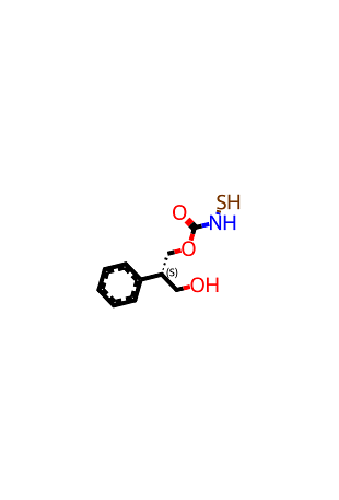 O=C(NS)OC[C@H](CO)c1ccccc1